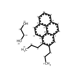 CCCc1cc2ccc3cccc4ccc(c1CCC)c2c34.OCCO